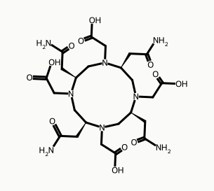 NC(=O)C[C@H]1CN(CC(=O)O)[C@@H](CC(N)=O)CN(CC(=O)O)[C@@H](CC(N)=O)CN(CC(=O)O)[C@@H](CC(N)=O)CN1CC(=O)O